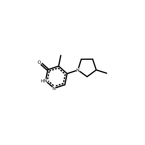 Cc1c(N2CCC(C)C2)cn[nH]c1=O